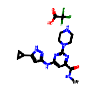 CCCNC(=O)c1cc(Nc2cc(C3CC3)[nH]n2)nc(N2CCNCC2)n1.O=C(O)C(F)(F)F